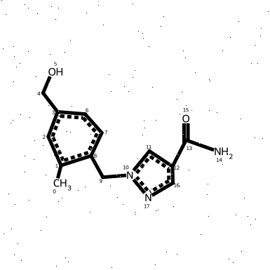 Cc1cc(CO)ccc1Cn1cc(C(N)=O)cn1